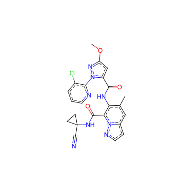 COc1cc(C(=O)Nc2c(C)cc3ccnn3c2C(=O)NC2(C#N)CC2)n(-c2ncccc2Cl)n1